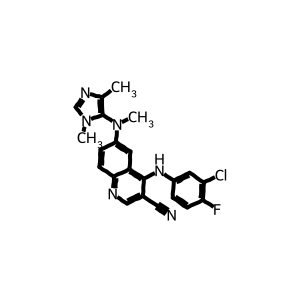 Cc1ncn(C)c1N(C)c1ccc2ncc(C#N)c(Nc3ccc(F)c(Cl)c3)c2c1